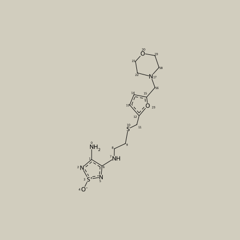 Nc1n[s+]([O-])nc1NCCSCc1ccc(CN2CCOCC2)o1